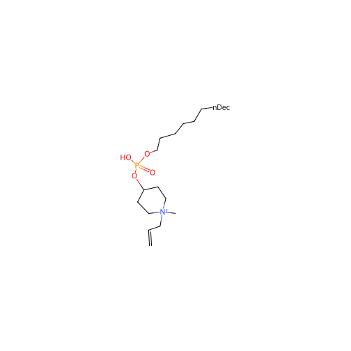 C=CC[N+]1(C)CCC(OP(=O)(O)OCCCCCCCCCCCCCCCC)CC1